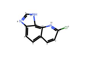 Clc1ccc2ccc3nc[nH]c3c2n1